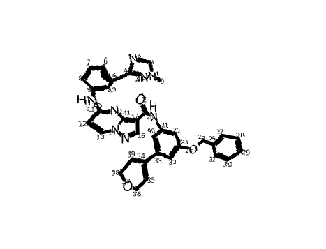 Cn1cnc(-c2cccc(Nc3ccn4ncc(C(=O)Nc5cc(OCc6ccccc6)cc(C6=CCOCC6)c5)c4n3)c2)n1